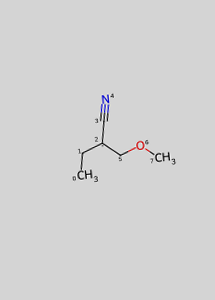 CC[C](C#N)COC